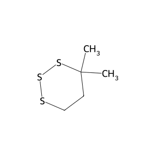 CC1(C)CCSSS1